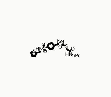 CCCNC(=O)CSc1nnc(-c2ccc(S(=O)(=O)NCc3cccs3)cc2)o1